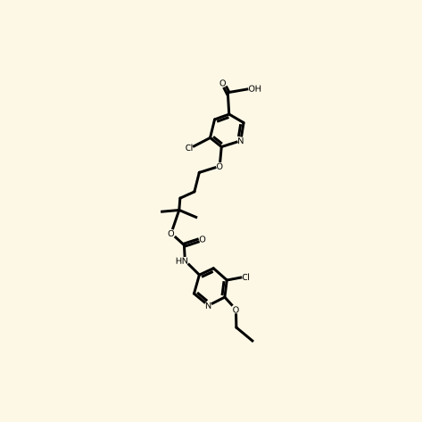 CCOc1ncc(NC(=O)OC(C)(C)CCCOc2ncc(C(=O)O)cc2Cl)cc1Cl